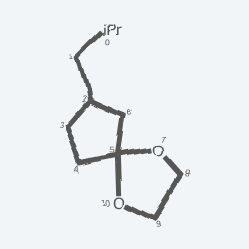 CC(C)CC1CCC2(C1)OCCO2